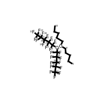 CCCCCOCCCCC.FC(F)(F)C(F)(F)C(F)(F)C(F)(F)C(F)(F)OC(F)(F)C(F)(F)C(F)(F)C(F)(F)C(F)(F)F